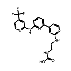 O=C(O)NCCNc1cc(-c2cccc(Nc3cc(C(F)(F)F)ccn3)n2)ccn1